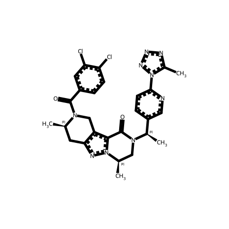 Cc1nnnn1-c1ccc([C@@H](C)N2C[C@@H](C)n3nc4c(c3C2=O)CN(C(=O)c2ccc(Cl)c(Cl)c2)[C@H](C)C4)cn1